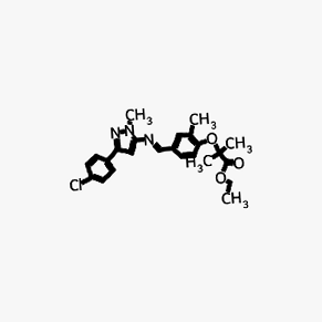 CCOC(=O)C(C)(C)Oc1ccc(/C=N/c2cc(-c3ccc(Cl)cc3)nn2C)cc1C